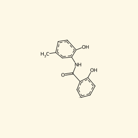 Cc1ccc(O)c(NC(=O)c2c[c]ccc2O)c1